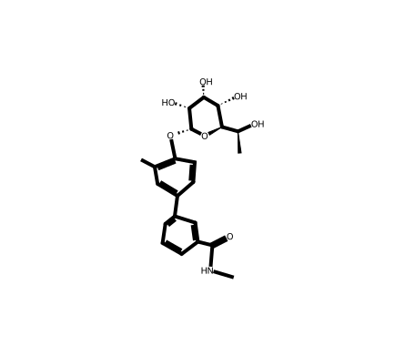 CNC(=O)c1cccc(-c2ccc(O[C@H]3O[C@H]([C@H](C)O)[C@@H](O)[C@@H](O)[C@H]3O)c(C)c2)c1